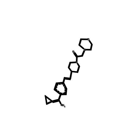 NC(=C1CC1)c1ccc(/C=C/C2CCN(C(=O)CN3CCOCC3)CC2)cc1